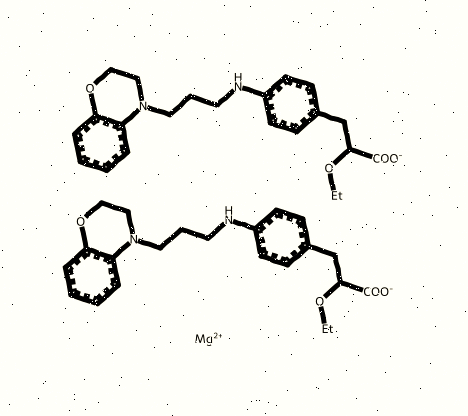 CCOC(Cc1ccc(NCCCN2CCOc3ccccc32)cc1)C(=O)[O-].CCOC(Cc1ccc(NCCCN2CCOc3ccccc32)cc1)C(=O)[O-].[Mg+2]